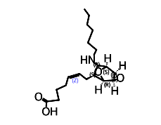 CCCCCCN[C@@H]1[C@H](C/C=C\CCCC(=O)O)[C@H]2O[C@@H]1[C@H]1O[C@H]12